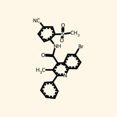 Cc1c(-c2ccccc2)nc2ccc(Br)cc2c1C(=O)Nc1ccc(C#N)cc1S(C)(=O)=O